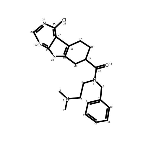 CN(C)CCN(Cc1ccccc1)C(=O)C1CCc2c(sc3ncnc(Cl)c23)C1